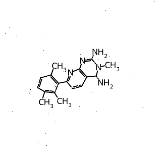 Cc1ccc(C)c(-c2ccc3c(n2)N=C(N)N(C)C3N)c1C